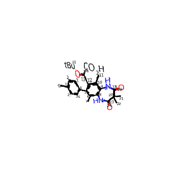 Cc1ccc(-c2c(C)c3c(c(C)c2C(OC(C)(C)C)C(=O)O)NC(=O)C(C)(C)C(=O)N3)cc1